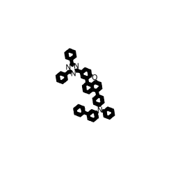 c1ccc(-c2cccc(N(c3ccccc3)c3ccc(-c4ccc5c6c(cccc46)-c4cc(-c6nc(-c7ccccc7)nc(-c7ccccc7)n6)ccc4O5)cc3)c2)cc1